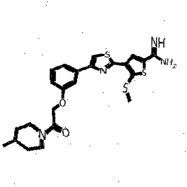 CSc1sc(C(=N)N)cc1-c1nc(-c2cccc(OCC(=O)N3CCC(C)CC3)c2)cs1